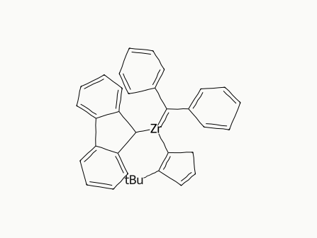 CC(C)(C)C1=[C]([Zr](=[C](c2ccccc2)c2ccccc2)[CH]2c3ccccc3-c3ccccc32)CC=C1